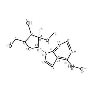 CO[C@]1(C)C(O)C(CO)O[C@H]1n1ccc2c(NO)ncnc21